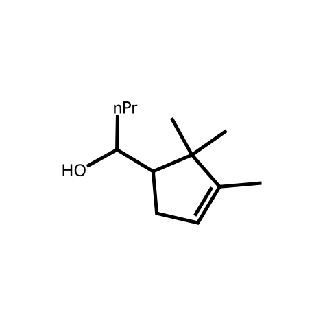 CCCC(O)C1CC=C(C)C1(C)C